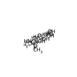 CCOc1nc(NC2CCCC2)c2ccn([C@@H]3O[C@H](COCP(=O)(O)O)[C@@H](O)[C@H]3O)c2n1